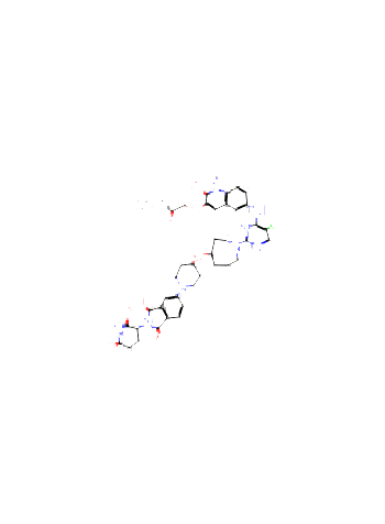 CNC(=O)COc1cc2cc(Nc3nc(N4CCCC(OC5CCN(c6ccc7c(c6)C(=O)N(C6CCC(=O)NC6=O)C7=O)CC5)CC4)ncc3Cl)ccc2n(C)c1=O